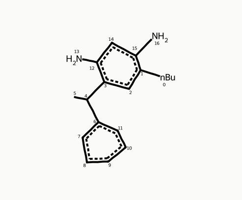 CCCCc1cc(C(C)c2ccccc2)c(N)cc1N